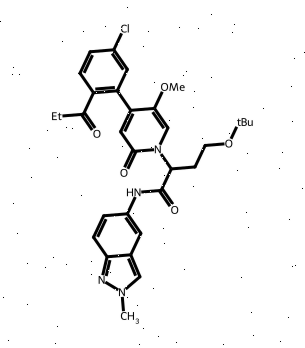 CCC(=O)c1ccc(Cl)cc1-c1cc(=O)n(C(CCOC(C)(C)C)C(=O)Nc2ccc3nn(C)cc3c2)cc1OC